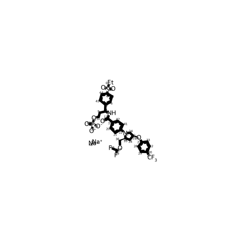 CCS(=O)(=O)c1ccc(C(CCOP(=O)([O-])[O-])NC(=O)c2ccc(N3C[C@@H](Oc4ccc(C(F)(F)F)cc4)C[C@H]3COC(F)F)cc2)cc1.[Na+].[Na+]